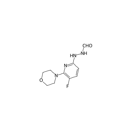 O=CNNc1ccc(F)c(N2CCOCC2)n1